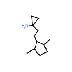 CC1CCC(C)C1CCC1(N)CC1